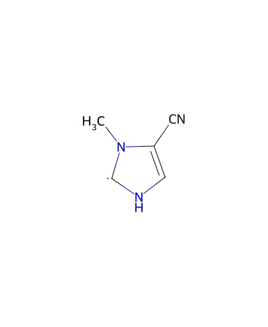 CN1[CH]NC=C1C#N